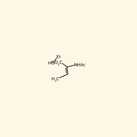 CC=C(NC(C)=O)C(=O)O.CCO